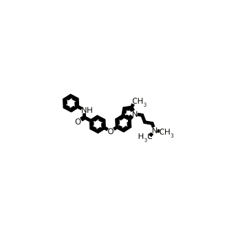 Cc1cc2cc(Oc3ccc(C(=O)Nc4ccccc4)cc3)ccc2n1CCCN(C)C